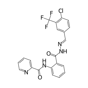 O=C(Nc1ccccc1C(=O)NN=Cc1ccc(Cl)c(C(F)(F)F)c1)c1ccccn1